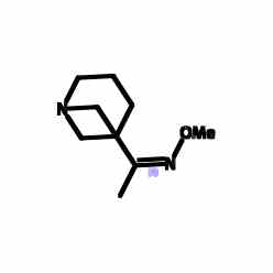 CO/N=C(/C)C12CCCN(C1)C2